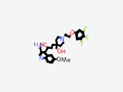 COc1ccc2ncc(CN)c([C@@H](O)CCC3(CO)CCN(CCOc4cc(F)c(F)c(F)c4)CC3)c2c1